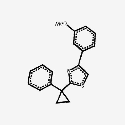 COc1cccc(-c2csc(C3(c4ccccc4)CC3)n2)c1